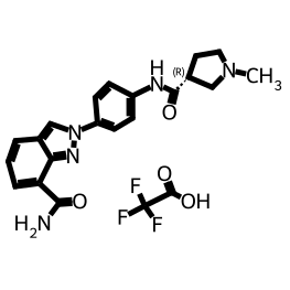 CN1CC[C@@H](C(=O)Nc2ccc(-n3cc4cccc(C(N)=O)c4n3)cc2)C1.O=C(O)C(F)(F)F